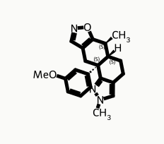 COc1cccc([C@]23Cc4cnoc4[C@@H](C)[C@@H]2CCc2cn(C)nc23)c1